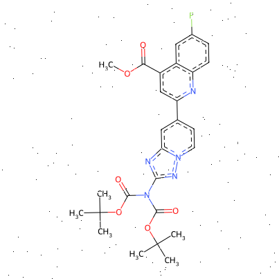 COC(=O)c1cc(-c2ccn3nc(N(C(=O)OC(C)(C)C)C(=O)OC(C)(C)C)nc3c2)nc2ccc(F)cc12